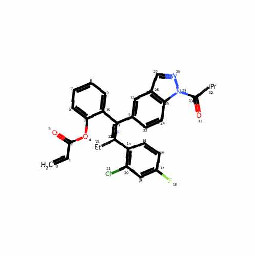 C=CC(=O)Oc1ccccc1/C(=C(\CC)c1ccc(F)cc1Cl)c1ccc2c(cnn2C(=O)C(C)C)c1